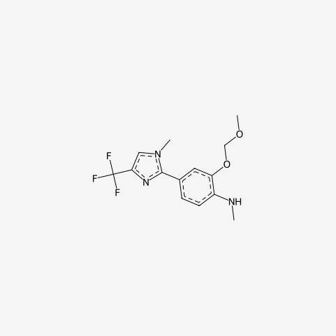 CNc1ccc(-c2nc(C(F)(F)F)cn2C)cc1OCOC